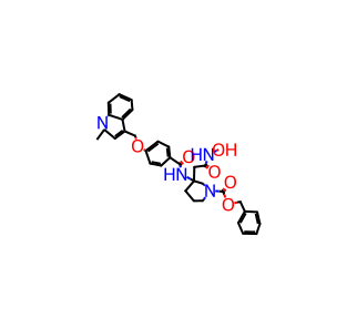 Cc1cc(COc2ccc(C(=O)NC3(CC(=O)NO)CCCN(C(=O)OCc4ccccc4)C3)cc2)c2ccccc2n1